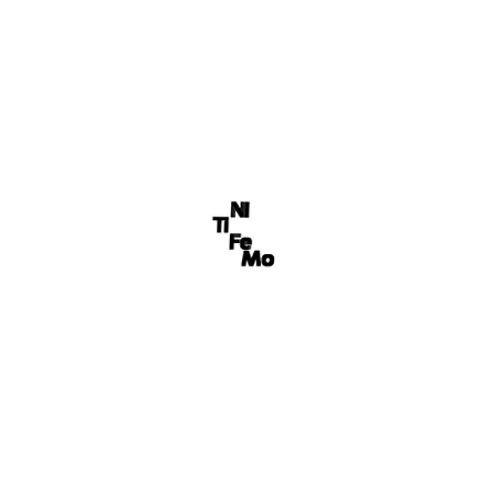 [Fe].[Mo].[Ni].[Ti]